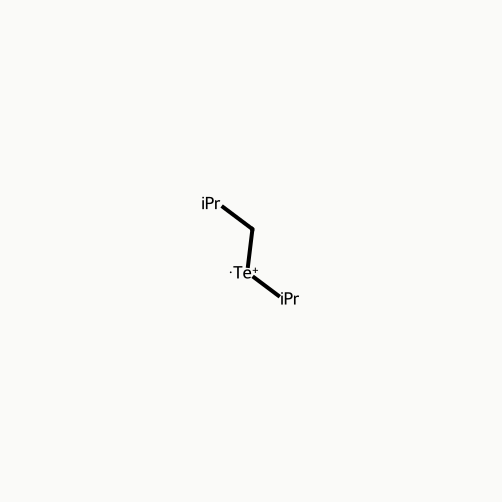 CC(C)C[Te+]C(C)C